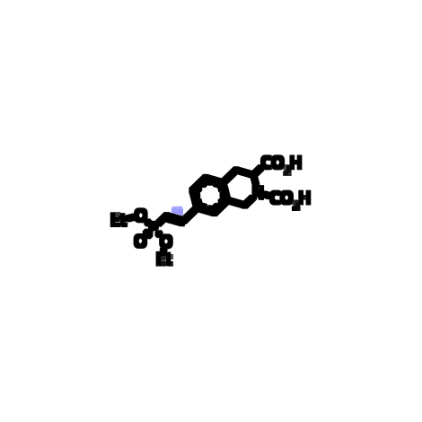 CCOP(=O)(/C=C/c1ccc2c(c1)CN(C(=O)O)C(C(=O)O)C2)OCC